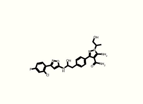 CC(CO)n1nc(-c2ccc(CC(O)Nc3cc(-c4ccc(F)cc4Cl)no3)cc2)c(C(N)=O)c1N